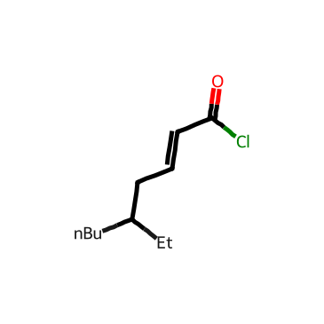 CCCCC(CC)CC=CC(=O)Cl